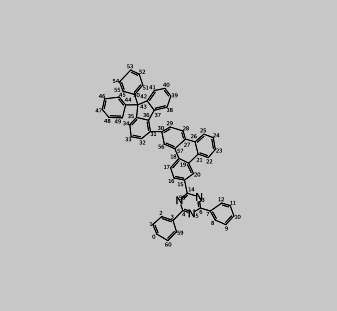 c1ccc(-c2nc(-c3ccccc3)nc(-c3ccc4c(c3)c3ccccc3c3ccc(-c5cccc6c5-c5ccccc5C6(c5ccccc5)c5ccccc5)cc34)n2)cc1